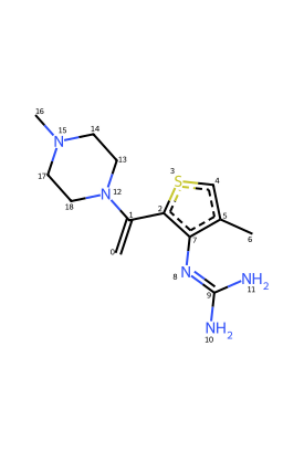 C=C(c1scc(C)c1N=C(N)N)N1CCN(C)CC1